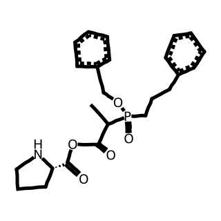 CC(C(=O)OC(=O)[C@@H]1CCCN1)P(=O)(CCCc1ccccc1)OCc1ccccc1